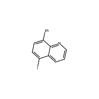 CC(C)c1ccc(I)c2cccnc12